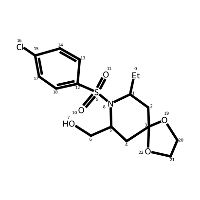 CCC1CC2(CC(CO)N1S(=O)(=O)c1ccc(Cl)cc1)OCCO2